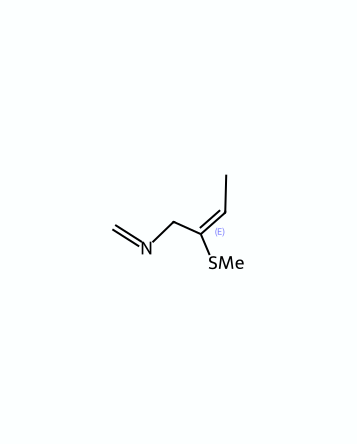 C=NC/C(=C\C)SC